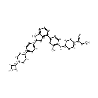 N#Cc1cc(-c2ncnc3[nH]c(-c4ccc(N5CCN(C6COC6)CC5)cc4)cc23)ccc1OC1CCN(C(=O)CO)CC1